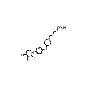 O=C(O)CCCCN1CCC(Oc2ccc(N3CCC(=O)NC3=O)cc2)CC1